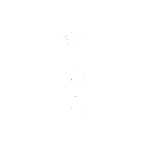 Fc1ccc(CCN2CCN(CCc3ccncc3)CC2)cc1F